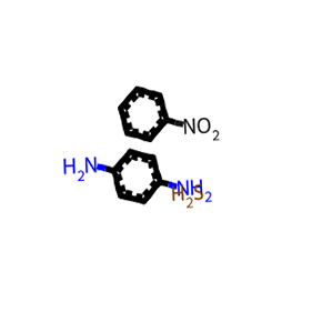 Nc1ccc(N)cc1.O=[N+]([O-])c1ccccc1.S